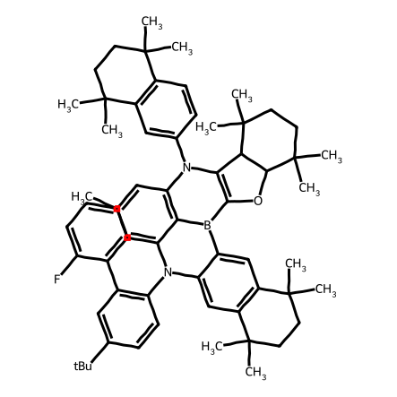 Cc1cc2c3c(c1)N(c1ccc(C(C)(C)C)cc1-c1ccccc1F)c1cc4c(cc1B3C1=C(C3C(O1)C(C)(C)CCC3(C)C)N2c1ccc2c(c1)C(C)(C)CCC2(C)C)C(C)(C)CCC4(C)C